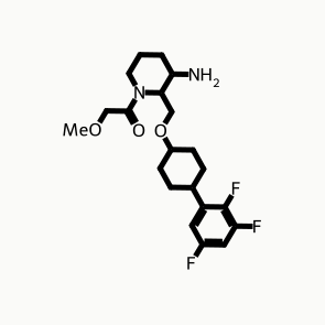 COCC(=O)N1CCCC(N)C1COC1CCC(c2cc(F)cc(F)c2F)CC1